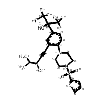 CC(C)[C@H](O)C#Cc1cc(C(O)(C(F)(F)F)C(F)(F)F)ccc1N1CCN(S(=O)(=O)c2cccs2)CC1